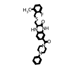 Cc1cccc(F)c1CSCC1Nc2ccc(C(=O)N3CCN(c4ccccc4)CC3)cc2NC1=O